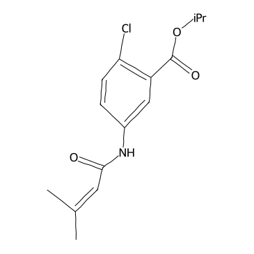 CC(C)=CC(=O)Nc1ccc(Cl)c(C(=O)OC(C)C)c1